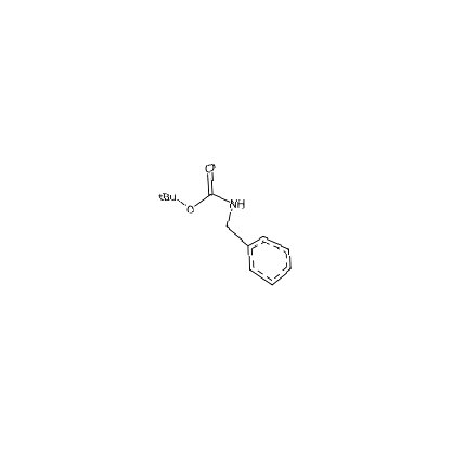 CC(C)(C)OC(=O)NCc1ccccc1